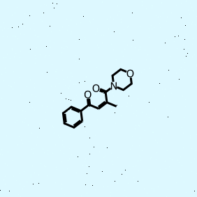 CC(=CC(=O)c1ccccc1)C(=O)N1CCOCC1